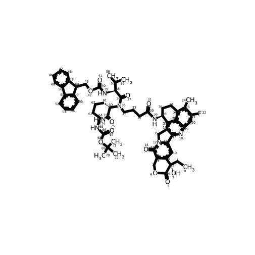 CC[C@@]1(O)C(=O)OCc2c1cc1n(c2=O)Cc2c-1nc1cc(F)c(C)c3c1c2[C@@H](NC(=O)CCCN(C(=O)[C@@H](NC(=O)OCC1c2ccccc2-c2ccccc21)C(C)C)[C@@H](CCCCNC(=O)OC(C)(C)C)C(N)=O)CC3